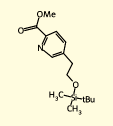 COC(=O)c1ccc(CCO[Si](C)(C)C(C)(C)C)cn1